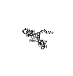 C=C1CCCCCN2C(=O)[C@@H]3CC(OC)=C(OC[C@@H]4CC(COC5=C(OC)C[C@@H]6C(=O)N7C8CCCC[C@@H]8C[C@H]7CN[C@@H]6C5)=C[C@H](CSCC(C)(C)SSC)C4)C[C@@H]3NC[C@@H]2C1